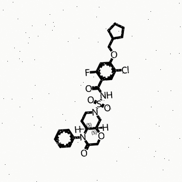 O=C(NS(=O)(=O)N1CC[C@H]2[C@H](C1)OCC(=O)N2c1ccccc1)c1cc(Cl)c(OCC2CCCC2)cc1F